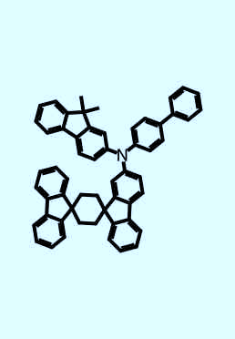 CC1(C)c2ccccc2-c2ccc(N(c3ccc(-c4ccccc4)cc3)c3ccc4c(c3)C3(CCC5(CC3)c3ccccc3-c3ccccc35)c3ccccc3-4)cc21